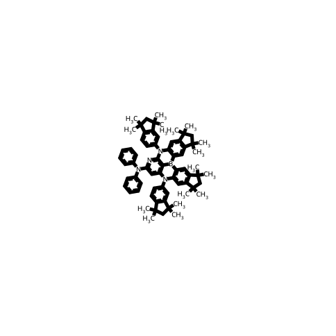 CC1(C)CC(C)(C)c2cc(N3c4cc5c(cc4B4c6cc7c(cc6N(c6ccc8c(c6)C(C)(C)CC8(C)C)c6nc(N(c8ccccc8)c8ccccc8)cc3c64)C(C)(C)CC7(C)C)C(C)(C)CC5(C)C)ccc21